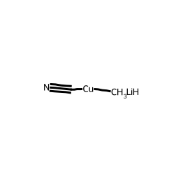 [CH3][Cu][C]#N.[LiH]